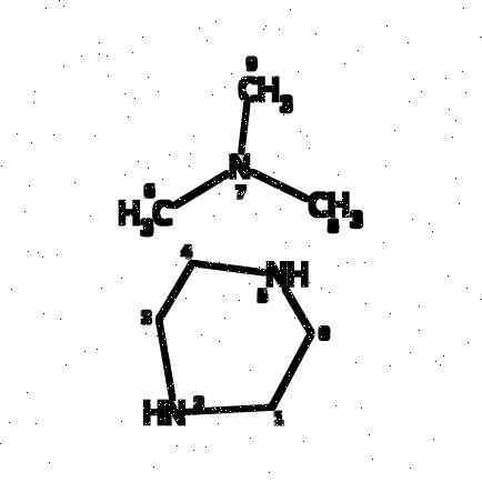 C1CNCCN1.CN(C)C